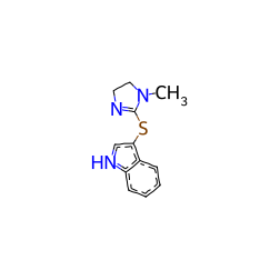 CN1CCN=C1Sc1c[nH]c2ccccc12